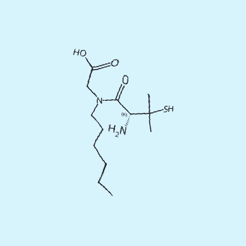 CCCCCCN(CC(=O)O)C(=O)[C@@H](N)C(C)(C)S